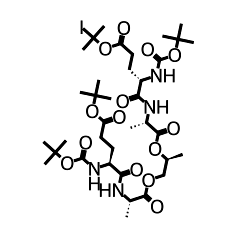 C[C@H](NC(=O)[C@H](CCC(=O)OC(C)(C)C)NC(=O)OC(C)(C)C)C(=O)OC[C@H](C)OC(=O)[C@H](C)NC(=O)[C@H](CCC(=O)OC(C)(C)I)NC(=O)OC(C)(C)C